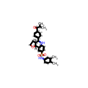 Cc1ccc(NS(=O)(=O)c2ccc3c(c2)[C@@H]2OCC[C@@H]2C(c2ccc(C(=O)C(C)C)cc2)N3)cc1C